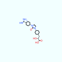 N=C(N)c1ccc(-n2ccn(-c3ccc(CC(O)C(=O)O)cc3)c2=O)cc1